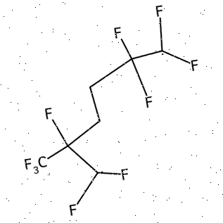 F[C](F)C(F)(F)CCC(F)([C](F)F)C(F)(F)F